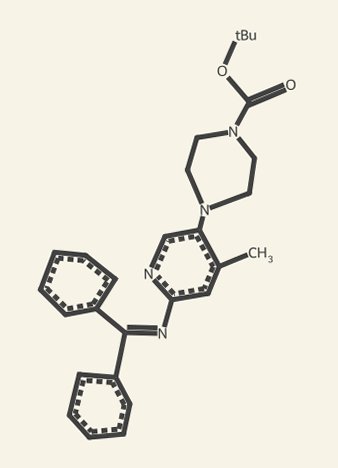 Cc1cc(N=C(c2ccccc2)c2ccccc2)ncc1N1CCN(C(=O)OC(C)(C)C)CC1